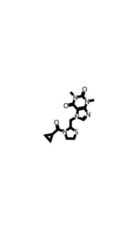 Cn1c(=O)c2c(ncn2CC2SCCN2C(=O)C2CC2)n(C)c1=O